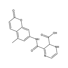 Cc1cc(NC(=O)C2=NC=CNC2C(=O)O)cc2oc(=O)ccc12